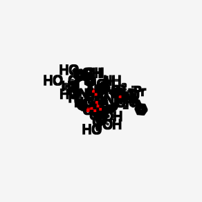 CC(C)C[C@H](NC(=O)OCc1ccccc1)C(=O)N[C@H]1C(=O)N[C@@H](CC(N)=O)C(=O)N[C@H]2C(=O)N[C@H]3C(=O)NC(C(=O)N[C@H](C(=O)O)c4cc(O)cc(O)c4-c4cc3ccc4O)[C@H](O)c3ccc(c(Cl)c3)Oc3cc2cc(c3OC2O[C@H](CO)[C@@H](O)[C@H](O)C2O[C@H]2C[C@](C)(NC(=O)CN)[C@H](O)[C@H](C)O2)Oc2ccc(cc2Cl)[C@H]1O